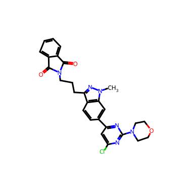 Cn1nc(CCCN2C(=O)c3ccccc3C2=O)c2ccc(-c3cc(Cl)nc(N4CCOCC4)n3)cc21